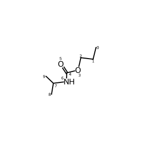 CCCOC(=O)NC(C)C